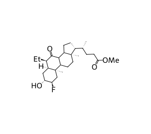 CC[C@H]1C(=O)C2C3CC[C@H]([C@H](C)CCC(=O)OC)[C@@]3(C)CCC2[C@@]2(C)C[C@@H](F)[C@H](O)C[C@@H]12